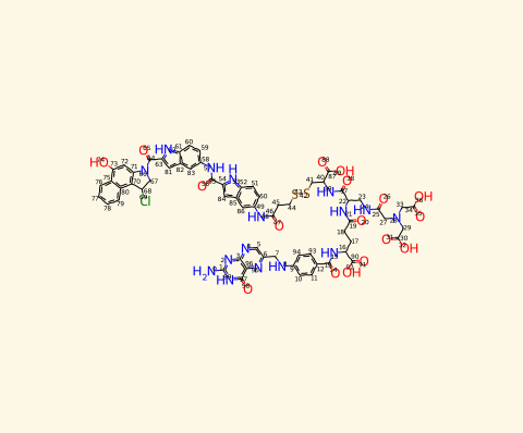 Nc1nc2ncc(CNc3ccc(C(=O)NC(CCC(=O)NC(CNC(=O)CN(CC(=O)O)CC(=O)O)C(=O)NC(CSSCCC(=O)Nc4ccc5[nH]c(C(=O)Nc6ccc7[nH]c(C(=O)N8CC(Cl)c9c8cc(O)c8ccccc98)cc7c6)cc5c4)C(=O)O)C(=O)O)cc3)nc2c(=O)[nH]1